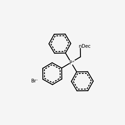 CCCCCCCCCCC[P+](c1ccccc1)(c1ccccc1)c1ccccc1.[Br-]